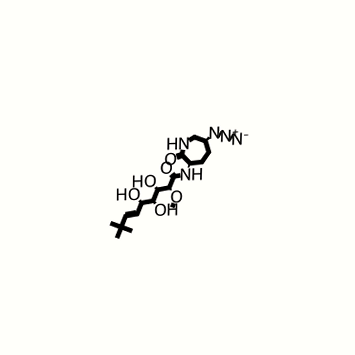 CO[C@@H](C(=O)N[C@H]1CC[C@H](N=[N+]=[N-])CNC1=O)[C@H](O)[C@@H](O)[C@H](O)/C=C/C(C)(C)C